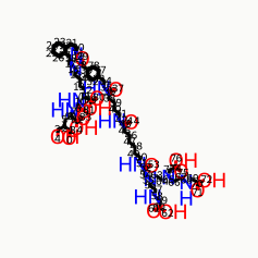 O=CC(CO)C[C@@H](NC(=O)N[C@H](CCCCN(Cc1nccc2ccccc12)C(=O)c1ccc(CNC(=O)CCCCNC(=O)CCCCCCNC(=O)CN(CCNCC(=O)O)CCN(CCNCC(=O)O)CC(=O)O)cc1)C(=O)O)C(=O)O